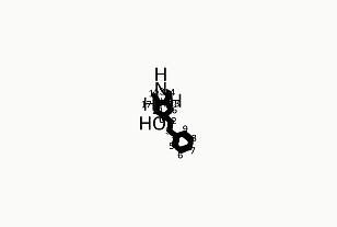 O[C@@]1(CCc2ccccc2)C[C@H]2CNC[C@H]2C1